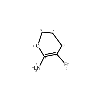 CCC1=C(N)OCCC1